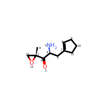 C[C@]1(C(=O)[C@@H](N)CC2=CCCC2)CO1